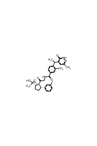 Cc1cc(C(C)c2ccc(C(=O)NCC(=O)N3[C@H](c4cccc(F)c4)CC[C@@H]3C(C)(C)O)cc2C)c(=O)[nH]n1